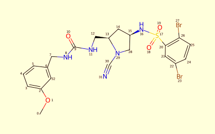 COc1cccc(CNC(=O)NC[C@H]2C[C@@H](NS(=O)(=O)c3cc(Br)ccc3Br)CN2C#N)c1